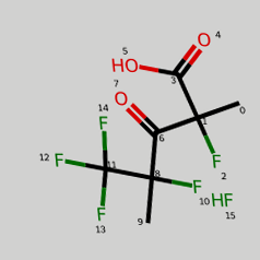 CC(F)(C(=O)O)C(=O)C(C)(F)C(F)(F)F.F